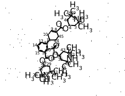 CC1(C)CC(OC(=O)C2=CCC(c3cccc(C(=O)OC4CC(C)(C)NC(C)(C)C4)c3C(=O)OC3CC(C)(C)NC(C)(C)C3)CC2)CC(C)(C)N1